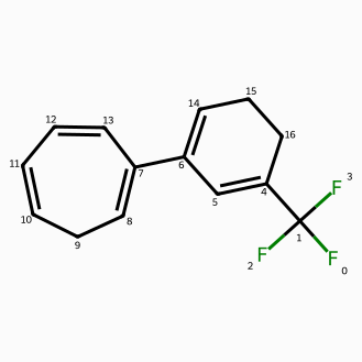 FC(F)(F)C1=CC(C2=CCC=CC=C2)=CCC1